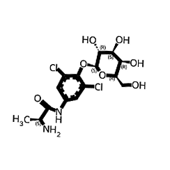 C[C@H](N)C(=O)Nc1cc(Cl)c(O[C@@H]2O[C@H](CO)[C@H](O)[C@H](O)[C@H]2O)c(Cl)c1